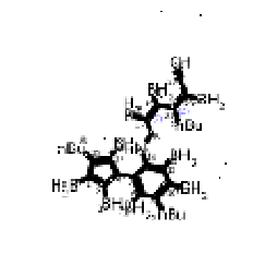 BC1=C(B)C(c2c(B)c(CCCC)c(B)c(B)c2NC/C(B)=C(B)\C(CCCC)=C(\B)C#C)C(B)=C1CCCC